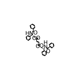 O=C(/C=C/C(=O)OC[C@@H](NC(=O)c1ccccc1)c1ccccc1)OC[C@@H](NC(=O)c1ccccc1)c1ccccc1